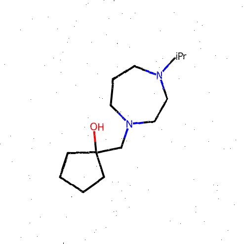 CC(C)N1CCCN(CC2(O)CCCC2)CC1